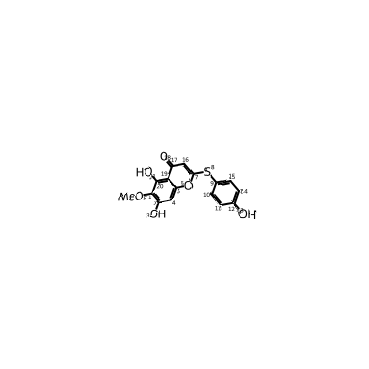 COc1c(O)cc2oc(Sc3ccc(O)cc3)cc(=O)c2c1O